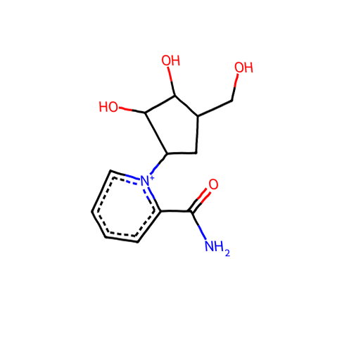 NC(=O)c1cccc[n+]1C1CC(CO)C(O)C1O